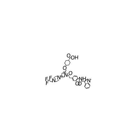 Cn1cc(C(=O)Nc2ccc(CC(=O)N3C[C@@H](N4CCN(CC(F)(F)F)CC4)C[C@H]3CO[C@H]3CC[C@H](C(=O)O)CC3)cc2Cl)c2ccccc21